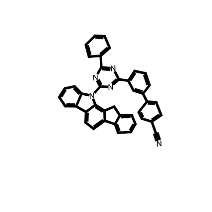 N#Cc1ccc(-c2cccc(-c3nc(-c4ccccc4)nc(-n4c5ccccc5c5ccc6c(c54)Cc4ccccc4-6)n3)c2)cc1